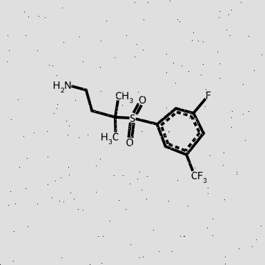 CC(C)(CCN)S(=O)(=O)c1cc(F)cc(C(F)(F)F)c1